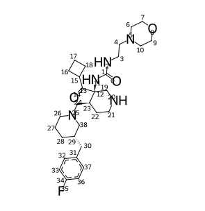 O=C(NCCN1CCOCC1)N[C@@]1(C(=O)C2CCC2)CNCC[C@H]1CN1CCC[C@@H](Cc2ccc(F)cc2)C1